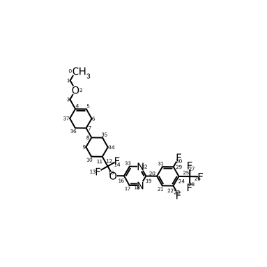 CCOCC1=CCC(C2CCC(C(F)(F)Oc3cnc(-c4cc(F)c(C(F)(F)F)c(F)c4)nc3)CC2)CC1